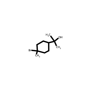 CC1(Br)CCC(C(C)(C)O)CC1